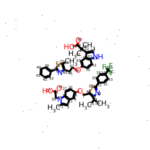 Cc1cc2cc(OCc3sc(-c4ccc(C(F)(F)F)cc4)nc3C(C)C)ccc2n1CC(=O)O.Cc1sc(-c2ccccc2)nc1CCOc1ccc2[nH]cc(C(C)(C)C(=O)O)c2c1